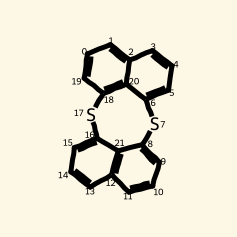 c1cc2cccc3sc4cccc5cccc(sc(c1)c23)c54